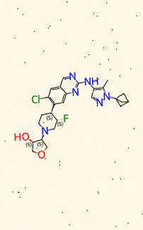 Cc1c(Nc2ncc3cc(Cl)c([C@@H]4CCN([C@H]5COC[C@H]5O)C[C@H]4F)cc3n2)cnn1C12CC(C1)C2